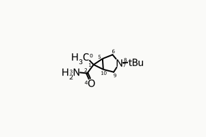 CC1(C(N)=O)C2CN(C(C)(C)C)CC21